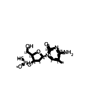 Cc1cn([C@H]2CC(O[PH](=O)S)C(CO)O2)c(=O)nc1N